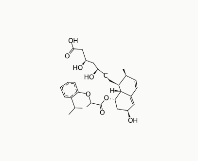 CC(Oc1ccccc1C(C)C)C(=O)O[C@H]1C[C@H](O)C=C2C=C[C@H](C)[C@H](CC[C@@H](O)C[C@@H](O)CC(=O)O)[C@H]21